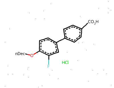 CCCCCCCCCCOc1ccc(-c2ccc(C(=O)O)cc2)cc1F.Cl